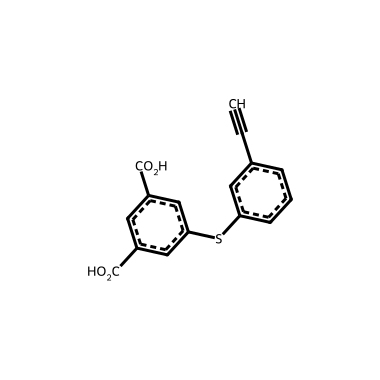 C#Cc1cccc(Sc2cc(C(=O)O)cc(C(=O)O)c2)c1